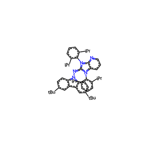 CC(C)c1cccc(C(C)C)c1-n1/c(=N\n2c3ccc(C(C)(C)C)cc3c3cc(C(C)(C)C)ccc32)n(-c2c(C(C)C)cccc2C(C)C)c2ncccc21